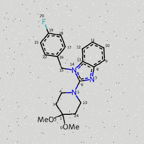 COC1(OC)CCN(c2nc3ccccc3n2Cc2ccc(F)cc2)CC1